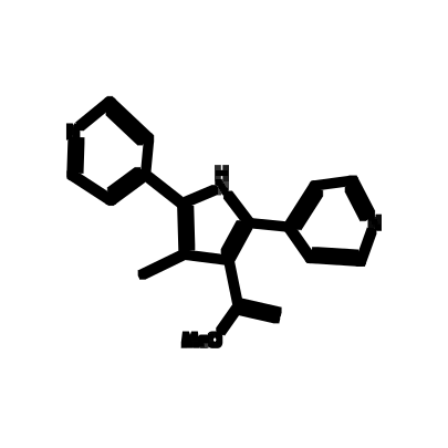 C=C(OC)c1c(-c2ccncc2)[nH]c(-c2ccncc2)c1C